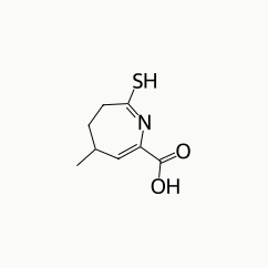 CC1C=C(C(=O)O)N=C(S)CC1